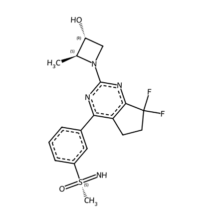 C[C@H]1[C@H](O)CN1c1nc(-c2cccc([S@@](C)(=N)=O)c2)c2c(n1)C(F)(F)CC2